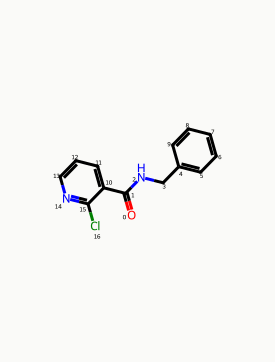 O=C(NCc1ccccc1)c1cccnc1Cl